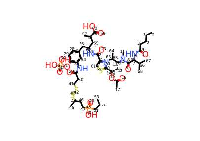 CCCCC(=O)N[C@H](C(=O)N(C)[C@H](C[C@@H](OC(C)=O)c1nc(C(=O)N[C@@H](Cc2ccc(OP(=O)(O)O)c(NC(=O)CCSSC(C)CCP(=O)(O)CCC)c2)CC(C)C(=O)O)cs1)C(C)C)C(C)C